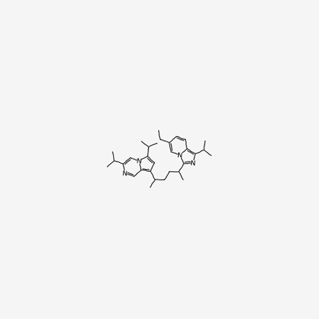 CCc1ccc2c(C(C)C)nc(C(C)CCC(C)c3cc(C(C)C)n4cc(C(C)C)ncc34)n2c1